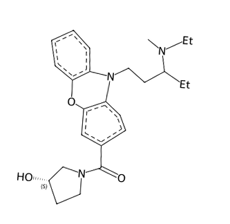 CCC(CCN1c2ccccc2Oc2cc(C(=O)N3CC[C@H](O)C3)ccc21)N(C)CC